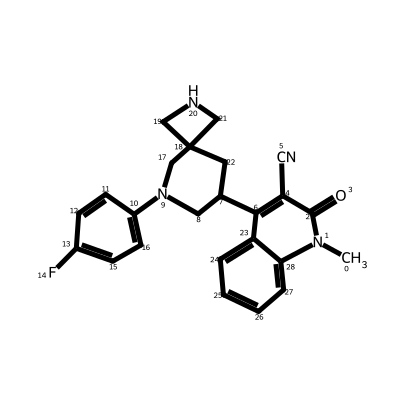 Cn1c(=O)c(C#N)c(C2CN(c3ccc(F)cc3)CC3(CNC3)C2)c2ccccc21